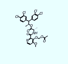 COc1ccnc(C(=O)N[C@@H](C)C(=O)O[C@@H](C)C(c2ccc(Cl)c(Cl)c2)c2ccc(Cl)c(Cl)c2)c1OCOC(C)=O